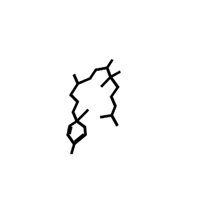 CC1=CCC(C)(CCCC(C)CCC(C)C(C)(C)CCCC(C)C)C=C1